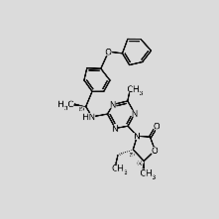 CC[C@H]1[C@H](C)OC(=O)N1c1nc(C)nc(N[C@@H](C)c2ccc(Oc3ccccc3)cc2)n1